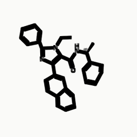 CCn1c(-c2ccccc2)nc(-c2ccc3ccccc3c2)c1C(=O)N[C@@H](C)c1ccccc1